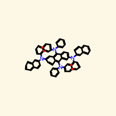 c1ccc(N(c2ccc3ccccc3c2)c2ccc3c(N(c4ccccc4)c4ccccc4)c4cc(N(c5ccccc5)c5ccc6ccccc6c5)ccc4c(N(c4ccccc4)c4ccccc4)c3c2)cc1